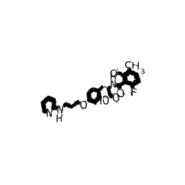 Cc1ccc(F)c(C(=O)N[C@@H](Cc2ccc(OCCCNc3ccccn3)cc2)C(=O)O)c1Cl